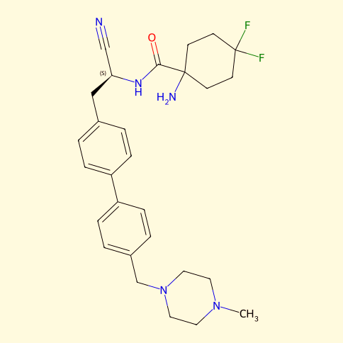 CN1CCN(Cc2ccc(-c3ccc(C[C@@H](C#N)NC(=O)C4(N)CCC(F)(F)CC4)cc3)cc2)CC1